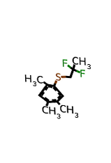 Cc1cc(C)c(SCC(C)(F)F)cc1C